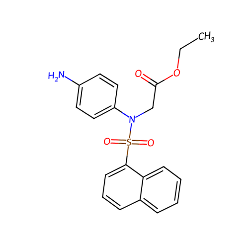 CCOC(=O)CN(c1ccc(N)cc1)S(=O)(=O)c1cccc2ccccc12